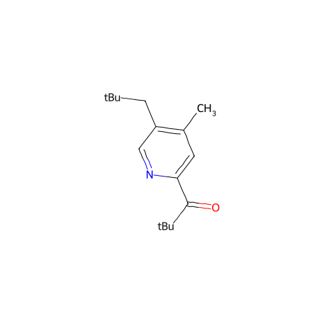 Cc1cc(C(=O)C(C)(C)C)ncc1CC(C)(C)C